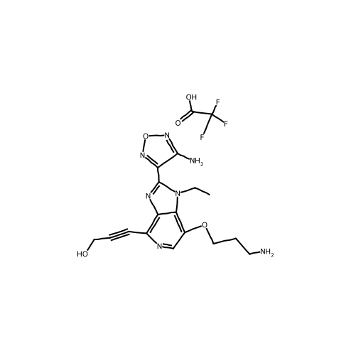 CCn1c(-c2nonc2N)nc2c(C#CCO)ncc(OCCCN)c21.O=C(O)C(F)(F)F